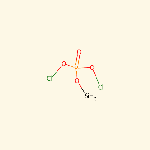 O=P(O[SiH3])(OCl)OCl